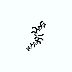 CCC[Si](C)(O[C@](C)(CC)C(CC)[Si]1(C)CC(CC)([Si](C)(C)C)O1)C(CC)C(C)(CC)O[Si](C)(C)C(C)O[Si](C)(C)C